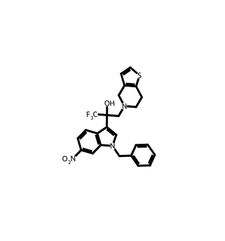 O=[N+]([O-])c1ccc2c(C(O)(CN3CCc4sccc4C3)C(F)(F)F)cn(Cc3ccccc3)c2c1